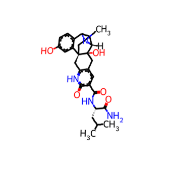 CC(C)C[C@H](NC(=O)c1cc2c([nH]c1=O)C[C@]13CC4C(c5ccc(O)cc51)N(C)[C@H]4[C@]3(O)C2)C(N)=O